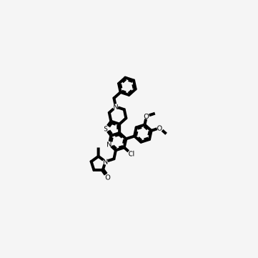 COc1ccc(-c2c(Cl)c(CN3C(=O)CCC3C)nc3sc4c(c23)CCN(Cc2ccccc2)C4)cc1OC